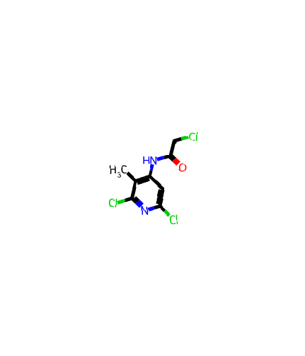 Cc1c(NC(=O)CCl)cc(Cl)nc1Cl